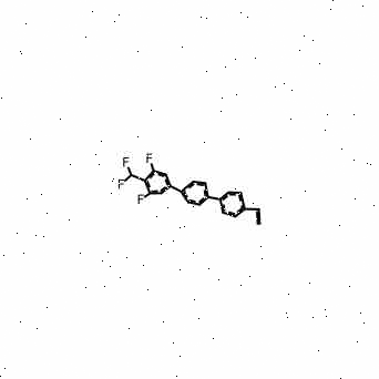 C=Cc1ccc(-c2ccc(-c3cc(F)c(C(F)F)c(F)c3)cc2)cc1